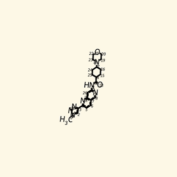 Cn1cc(-c2ccc3cnc(NC(=O)C4CCC(N5CCOCC5)CC4)cc3n2)nn1